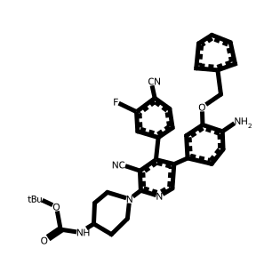 CC(C)(C)OC(=O)NC1CCN(c2ncc(-c3ccc(N)c(OCc4ccccc4)c3)c(-c3ccc(C#N)c(F)c3)c2C#N)CC1